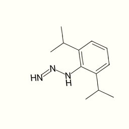 CC(C)c1cccc(C(C)C)c1NN=N